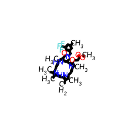 C=Cc1c(C)c2cc3nc(c4c5[nH]c(cc6nc(cc1[nH]2)C(C)=C6CC)c(C)c5C(=O)N(Cc1cc(C)cc(C(F)(F)F)c1)C4=O)[C@@H](CCC(=O)OC)[C@@H]3C